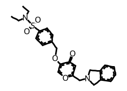 CCN(CC)S(=O)(=O)c1ccc(COc2coc(CN3Cc4ccccc4C3)cc2=O)cc1